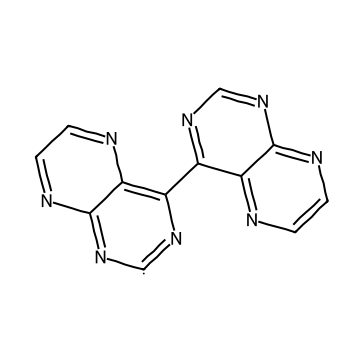 [c]1nc(-c2ncnc3nccnc23)c2nccnc2n1